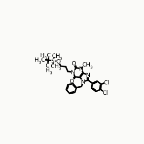 Cn1c(=O)n(CCCO[Si](C)(C)C(C)(C)C)c(=O)c2c1nc(-c1ccc(Cl)c(Cl)c1)n2Cc1ccccc1